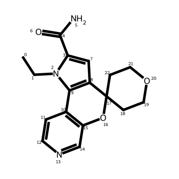 CCn1c(C(N)=O)cc2c1-c1ccncc1OC21CCOCC1